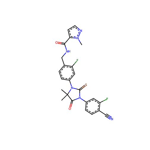 Cn1nccc1C(=O)NCc1ccc(N2C(=S)N(c3ccc(C#N)c(F)c3)C(=O)C2(C)C)cc1F